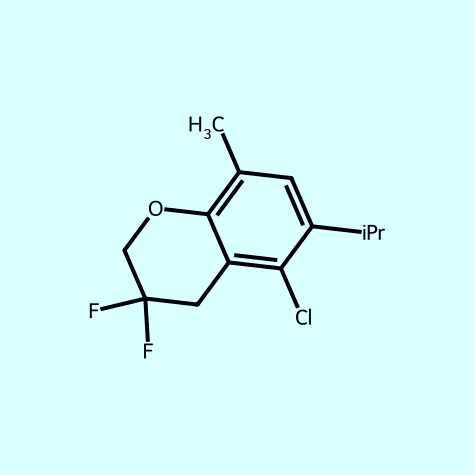 Cc1cc(C(C)C)c(Cl)c2c1OCC(F)(F)C2